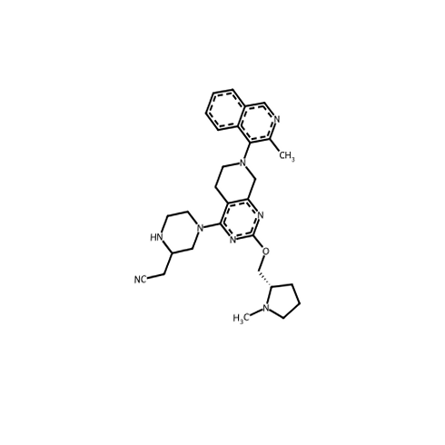 Cc1ncc2ccccc2c1N1CCc2c(nc(OC[C@@H]3CCCN3C)nc2N2CCNC(CC#N)C2)C1